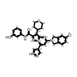 O=C(Nc1cccc(O)c1)c1nn2c(-c3cn[nH]c3)cc(N3Cc4ccc(Cl)cc4C3)nc2c1C1CCOCC1